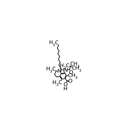 CCCCCCCCCCN1c2c(c(C)c(C(=O)O)c(C)c2NC(=O)C(C)(C)C)CCC1C